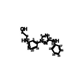 OCCNc1cc(-n2cnc(Nc3ccccc3)n2)ccn1